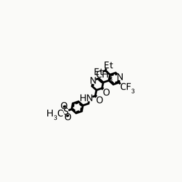 CCC(CC)c1cnc(C(F)(F)F)cc1C1=C(C)N=CC(C(=O)NCc2ccc(S(C)(=O)=O)cc2)C1=O